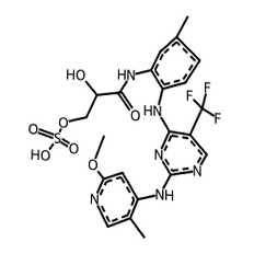 COc1cc(Nc2ncc(C(F)(F)F)c(Nc3ccc(C)cc3NC(=O)C(O)COS(=O)(=O)O)n2)c(C)cn1